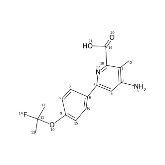 Cc1c(N)cc(-c2ccc(OC(C)(C)F)cc2)nc1C(=O)O